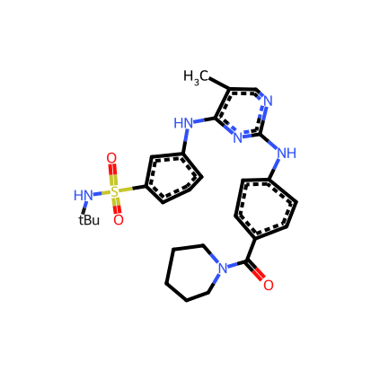 Cc1cnc(Nc2ccc(C(=O)N3CCCCC3)cc2)nc1Nc1cccc(S(=O)(=O)NC(C)(C)C)c1